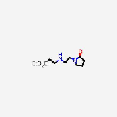 CCOC(=O)CCNCCN1CCCC1=O